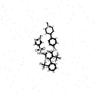 CN1CCC(c2ccc(Oc3nc(NS(=O)(=O)c4cnn(C)c4)nc(-c4ccccc4C(F)(F)F)c3C(F)(F)F)cc2)CC1